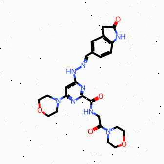 O=C1Cc2cc(/C=N/Nc3cc(N4CCOCC4)nc(C(=O)NCC(=O)N4CCOCC4)n3)ccc2N1